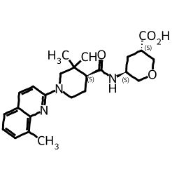 Cc1cccc2ccc(N3CC[C@H](C(=O)N[C@@H]4COC[C@@H](C(=O)O)C4)C(C)(C)C3)nc12